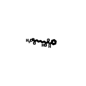 COC(=O)CCCCC[C@@H](O)C(=O)Nc1ccccc1